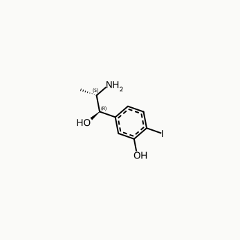 C[C@H](N)[C@H](O)c1ccc(I)c(O)c1